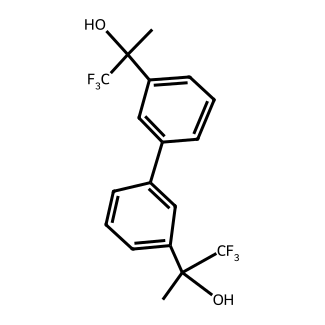 CC(O)(c1cccc(-c2cccc(C(C)(O)C(F)(F)F)c2)c1)C(F)(F)F